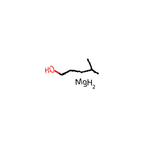 CC(C)CCCO.[MgH2]